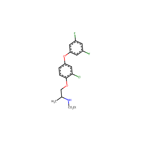 CCOC(=O)NC(C)COc1ccc(Oc2cc(F)cc(F)c2)cc1Cl